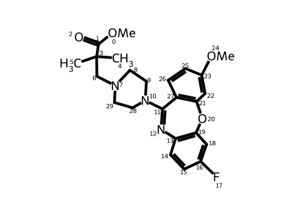 COC(=O)C(C)(C)CN1CCN(C2=Nc3ccc(F)cc3Oc3cc(OC)ccc32)CC1